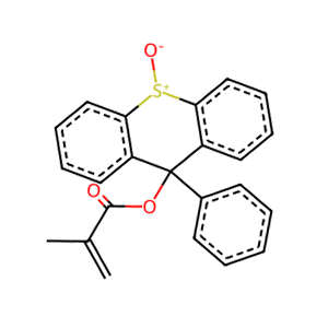 C=C(C)C(=O)OC1(c2ccccc2)c2ccccc2[S+]([O-])c2ccccc21